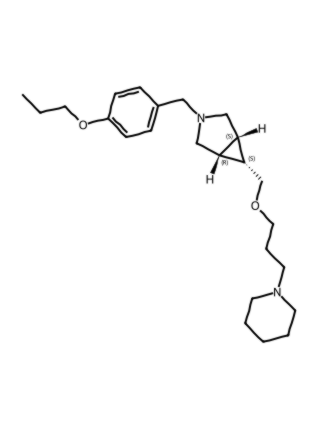 CCCOc1ccc(CN2C[C@@H]3[C@H](COCCCN4CCCCC4)[C@@H]3C2)cc1